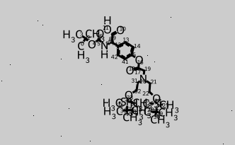 CC(C)(C)OC(=O)N[C@@H](C(=O)O)c1ccc(OC(=O)CN(CCO[Si](C)(C)C(C)(C)C)CCO[Si](C)(C)C(C)(C)C)cc1